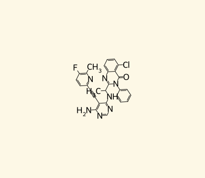 Cc1nc(C#Cc2c(N)ncnc2NC(C)c2nc3cccc(Cl)c3c(=O)n2-c2ccccc2)ccc1F